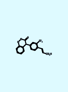 O=C(O)C=Cc1ccc(C2C(=S)OOc3ccccc32)cc1C(F)(F)F